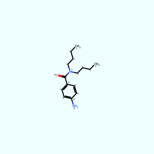 CCCCN(CCCC)C(=O)c1ccc(N)cc1